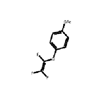 CC(=O)Oc1ccc(OC(F)=C(F)F)cc1